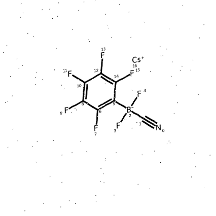 N#C[B-](F)(F)c1c(F)c(F)c(F)c(F)c1F.[Cs+]